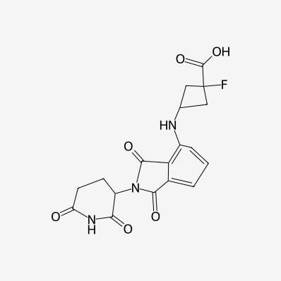 O=C1CCC(N2C(=O)c3cccc(NC4CC(F)(C(=O)O)C4)c3C2=O)C(=O)N1